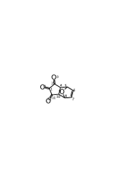 O=C1C(=O)C2C3C=CC(O3)C2C1=O